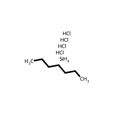 CCCCCCC.Cl.Cl.Cl.Cl.[SiH4]